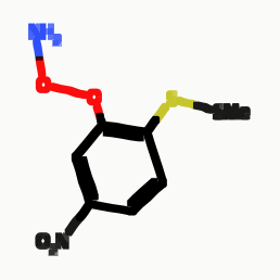 CSSc1ccc([N+](=O)[O-])cc1OON